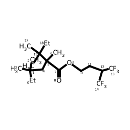 CCC(C)(C)CC(C)(C(=O)OCCC(C(F)(F)F)C(F)(F)F)C(C)(C)CC